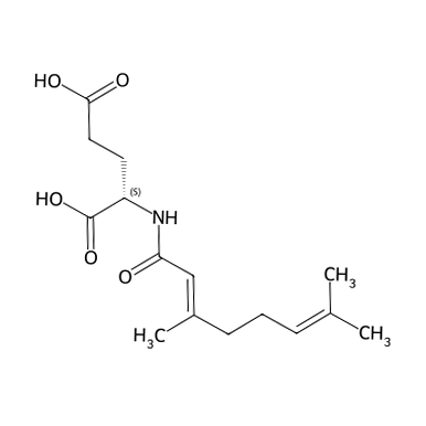 CC(C)=CCCC(C)=CC(=O)N[C@@H](CCC(=O)O)C(=O)O